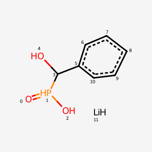 O=[PH](O)C(O)c1ccccc1.[LiH]